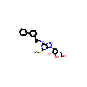 CCCSc1nc(NC2CC2c2cccc(-c3ccccc3)c2)c2nnn([C@@H]3C[C@H](CCO)[C@@H](O)[C@H]3O)c2n1